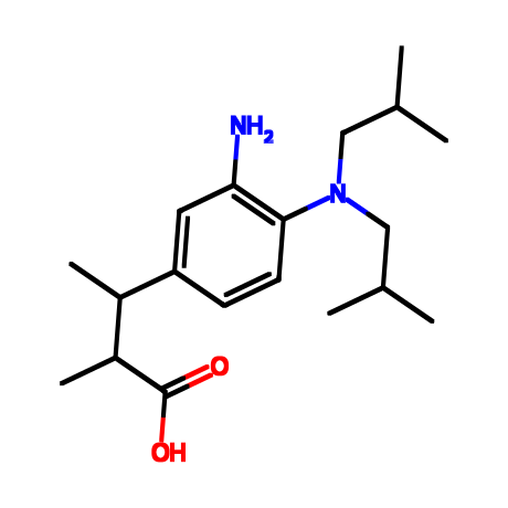 CC(C)CN(CC(C)C)c1ccc(C(C)C(C)C(=O)O)cc1N